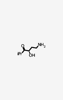 CC(C)C(=O)[C@H](O)CCN